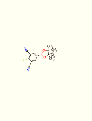 CC1(C)OB(c2cc(C#N)c(F)c(C#N)c2)OC1(C)C